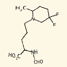 CC1CCC(F)(F)CN1CCCC(NC=O)C(=O)O